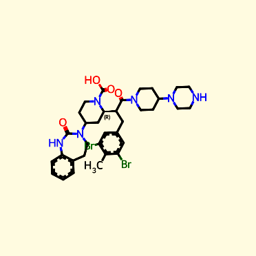 Cc1c(Br)cc(CC(C(=O)N2CCC(N3CCNCC3)CC2)[C@H]2CC(N3CCc4ccccc4NC3=O)CCN2C(=O)O)cc1Br